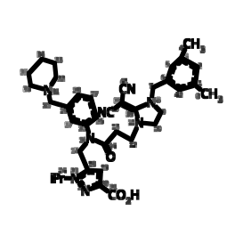 Cc1cc(C)cc(CN2CCN(CCC(=O)N(Cc3cc(C(=O)O)nn3C(C)C)c3cccc(CN4CCCCC4)c3)C2=C(C#N)C#N)c1